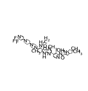 C=CC(=O)Nc1cc(Nc2nc(-c3ccnc(N4CCn5c(cc6c5CC(C)(C)C6)C4=O)c3CO)cn(C)c2=O)ccc1N1CCN(C2CCN(c3ccnc(C(F)(F)F)c3)CC2)C[C@@H]1C